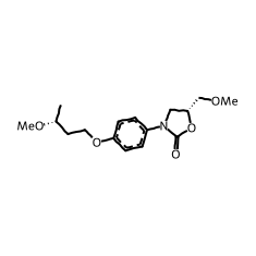 COC[C@H]1CN(c2ccc(OCC[C@@H](C)OC)cc2)C(=O)O1